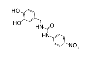 O=C(NCc1ccc(O)c(O)c1)Nc1ccc([N+](=O)[O-])cc1